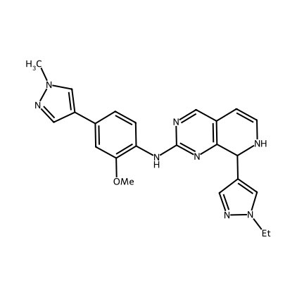 CCn1cc(C2NC=Cc3cnc(Nc4ccc(-c5cnn(C)c5)cc4OC)nc32)cn1